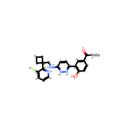 CNC(=O)c1ccc(O)c(-c2ccc(NCC3(c4ncccc4F)CCC3)nn2)c1